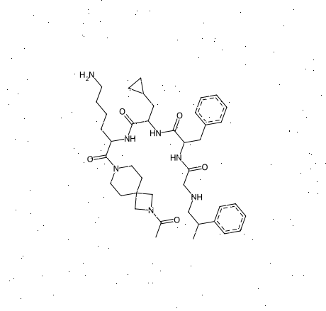 CC(=O)N1CC2(CCN(C(=O)C(CCCCN)NC(=O)C(CC3CC3)NC(=O)C(Cc3ccccc3)NC(=O)CNCC(C)c3ccccc3)CC2)C1